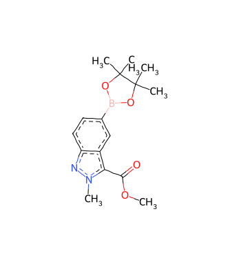 COC(=O)c1c2cc(B3OC(C)(C)C(C)(C)O3)ccc2nn1C